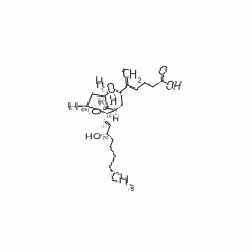 C=C(CCCC(=O)O)C1C[C@H]2[C@H](/C=C/[C@@H](O)CCCCC)[C@H]3C[C@@H](O1)[C@@H]2O3